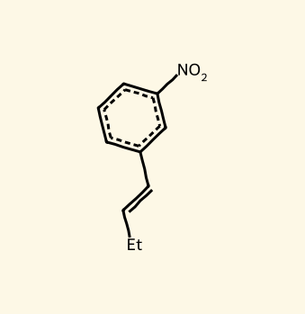 CCC=Cc1cccc([N+](=O)[O-])c1